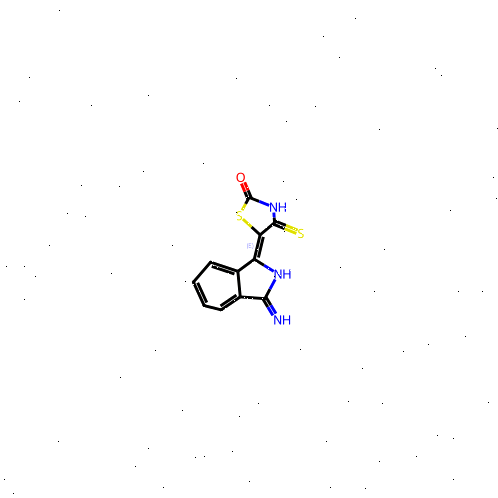 N=C1N/C(=C2/SC(=O)NC2=S)c2ccccc21